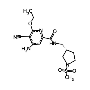 CCOc1nc(C(=O)NC[C@@H]2CCN(S(C)(=O)=O)C2)cc(N)c1C#N